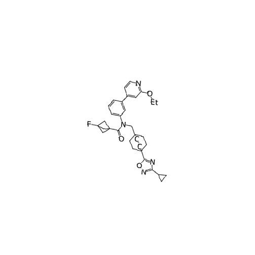 CCOc1cc(-c2cccc(N(CC34CCC(c5nc(C6CC6)no5)(CC3)CC4)C(=O)C34CC(F)(C3)C4)c2)ccn1